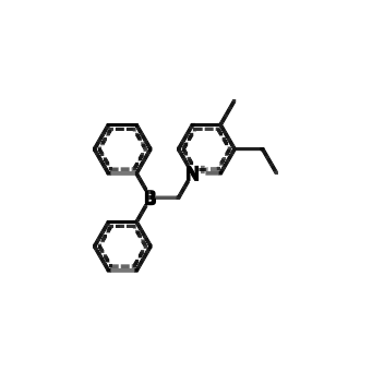 CCc1c[n+](CB(c2ccccc2)c2ccccc2)ccc1C